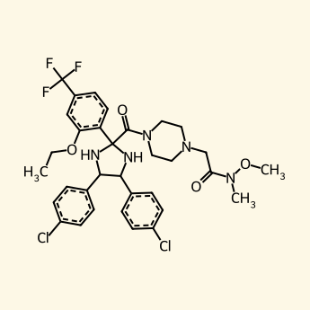 CCOc1cc(C(F)(F)F)ccc1C1(C(=O)N2CCN(CC(=O)N(C)OC)CC2)NC(c2ccc(Cl)cc2)C(c2ccc(Cl)cc2)N1